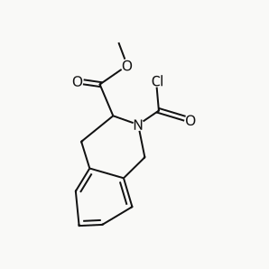 COC(=O)C1Cc2ccccc2CN1C(=O)Cl